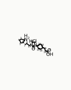 Cl.N[C@@H]1CCC[C@H]1CCCN1CCN(c2ccc(CCC(=O)O)cc2)C1=O